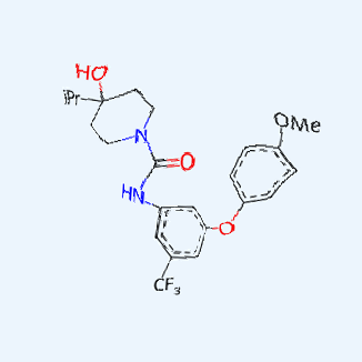 COc1ccc(Oc2cc(NC(=O)N3CCC(O)(C(C)C)CC3)cc(C(F)(F)F)c2)cc1